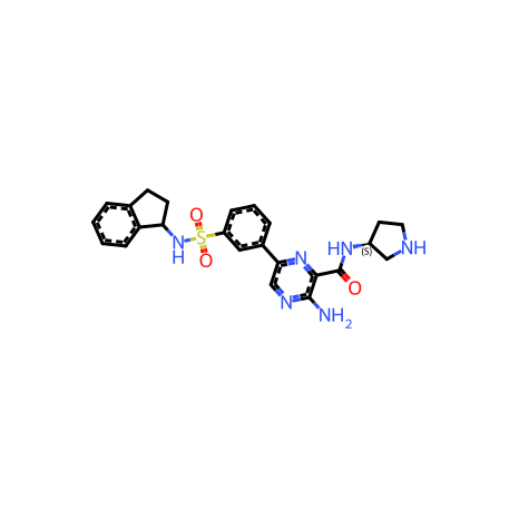 Nc1ncc(-c2cccc(S(=O)(=O)NC3CCc4ccccc43)c2)nc1C(=O)N[C@H]1CCNC1